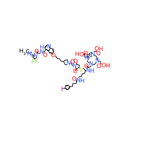 C/N=C/[C@H]1CC(F)(F)CN1C(=O)CNC(=O)c1ccnc2ccc(OCCCCC3CCN(C(=O)CN4C(=O)CC(SCC(CCCCNC(=O)CCCc5ccc(I)cc5)NC(=O)CN5CCN(CC(=O)O)CCN(CC(=O)O)CCN(CC(=O)O)CC5)C4=O)CC3)cc12